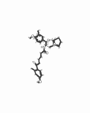 COC1=CC(C)C(C(=O)CCCCC(=O)N[C@H](CN2CCCC2)[C@H](O)c2ccc(OC)c(C)c2)C=C1